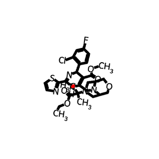 CCOC(=O)C(C)(C)N1CC2COCC(C1)N2CC1=C(C(=O)OC)C(c2ccc(F)cc2Cl)N=C(c2nccs2)N1